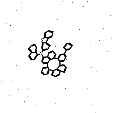 c1ccc(-c2ccc3c(c2)c2cccc4c(N(c5ccc6c(c5)sc5ccccc56)c5cccc6ccccc56)ccc(c5ccccc5c5cccc6cccc3c65)c42)cc1